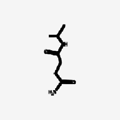 CC(C)NC(=O)C[CH]C(N)=O